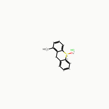 Cl.O=C(O)c1cccc2c1Cc1ccccc1[S+]2[O-]